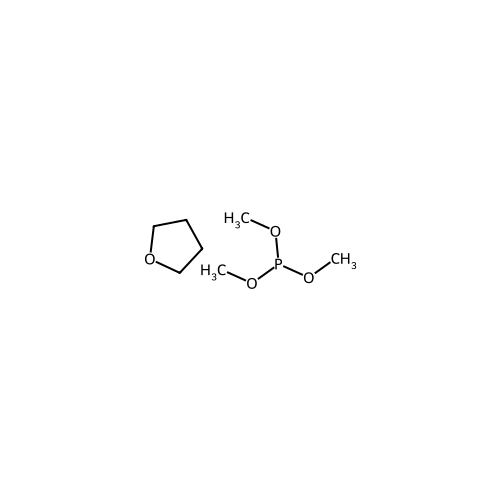 C1CCOC1.COP(OC)OC